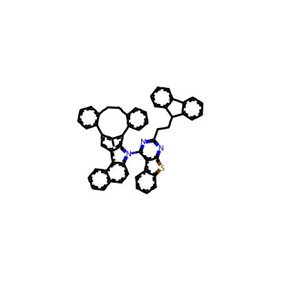 Cc1c2cc3c4c5ccccc5ccc4n(-c4nc(CCC5c6ccccc6-c6ccccc65)nc5sc6ccccc6c45)c3c1-c1ccccc1CCc1ccccc1-2